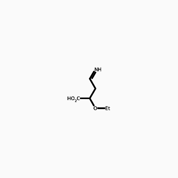 CCOC(CC=N)C(=O)O